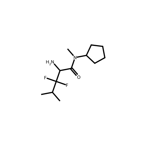 CC(C)C(F)(F)C(N)C(=O)N(C)C1CCCC1